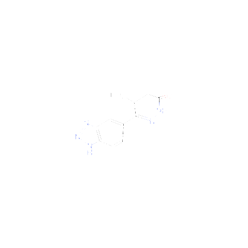 CC1CC(=O)NN=C1c1ccc2[nH]nnc2c1